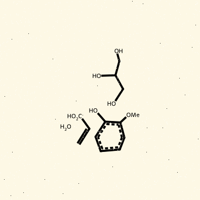 C=CC(=O)O.COc1ccccc1O.O.OCC(O)CO